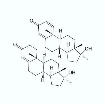 C[C@]12C=CC(=O)C=C1CC[C@@H]1[C@@H]2CC[C@@]2(C)[C@H]1CC[C@]2(C)O.C[C@]12CCC(=O)C=C1CC[C@@H]1[C@@H]2CC[C@@]2(C)[C@H]1CC[C@]2(C)O